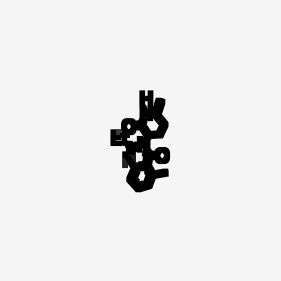 C=C1CCC(n2c(CC)nc3cccc(C)c3c2=O)C(=O)N1